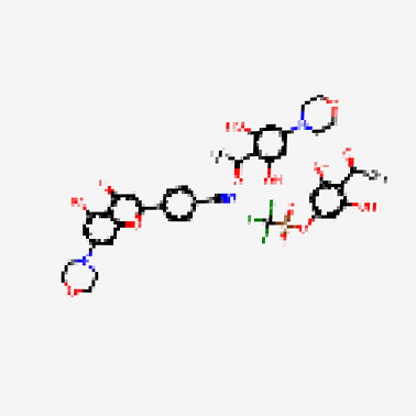 CC(=O)c1c(O)cc(N2CCOCC2)cc1O.CC(=O)c1c(O)cc(OS(=O)(=O)C(F)(F)F)cc1O.N#Cc1ccc(-c2cc(=O)c3c(O)cc(N4CCOCC4)cc3o2)cc1